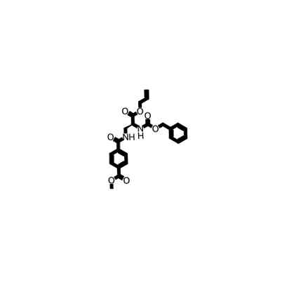 C=CCOC(=O)[C@H](CNC(=O)c1ccc(C(=O)OC)cc1)NC(=O)OCc1ccccc1